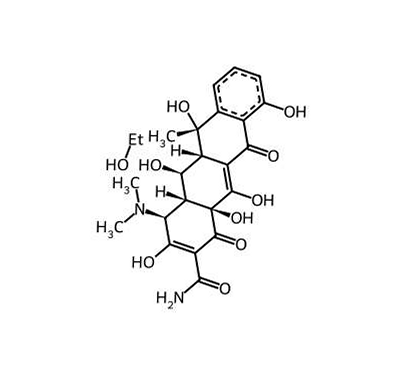 CCO.CN(C)[C@@H]1C(O)=C(C(N)=O)C(=O)[C@@]2(O)C(O)=C3C(=O)c4c(O)cccc4[C@@](C)(O)[C@H]3[C@H](O)[C@@H]12